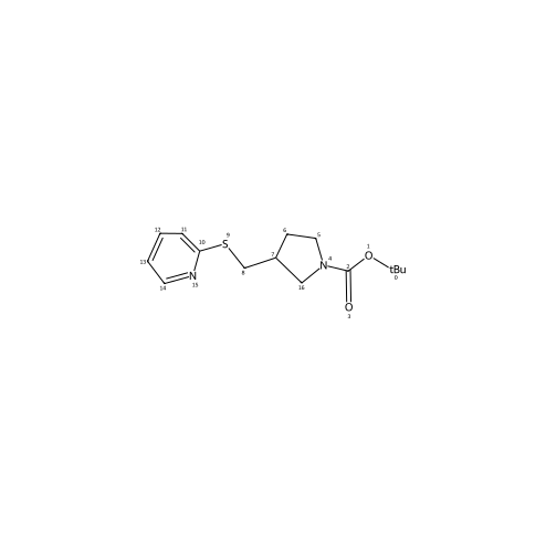 CC(C)(C)OC(=O)N1CCC(CSc2ccccn2)C1